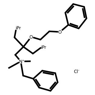 CC(C)CC(CC(C)C)(C[N+](C)(C)Cc1ccccc1)OCCOc1ccccc1.[Cl-]